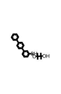 CC(C)(O)C(C)(C)OBc1cccc(-c2ccc(-c3ccccc3)cc2)c1